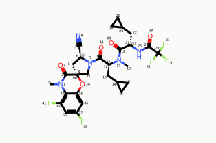 CN1C(=O)[C@]2(C[C@@H](C#N)N(C(=O)[C@H](CC3CC3)N(C)C(=O)[C@H](CC3CC3)NC(=O)C(F)(F)F)C2)Oc2cc(F)cc(F)c21